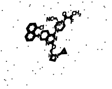 C=C(F)C(=O)N1CCN(c2nc(OC[C@@H]3CCN3C3CC3)nc3c2CCN(c2cccc4cccc(Cl)c24)C3)C[C@@H]1CC#N